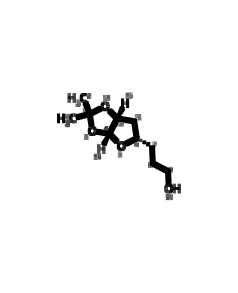 CC1(C)O[C@H]2O[C@@H](CCCO)C[C@H]2O1